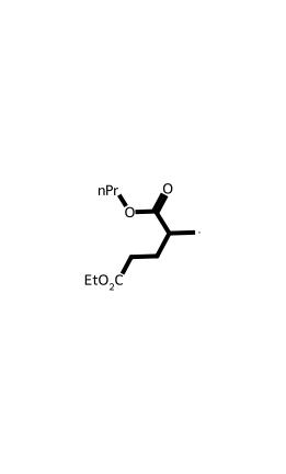 [CH2]C(CCC(=O)OCC)C(=O)OCCC